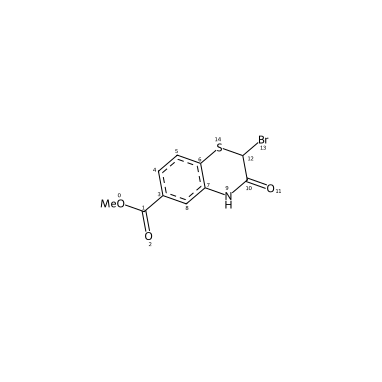 COC(=O)c1ccc2c(c1)NC(=O)C(Br)S2